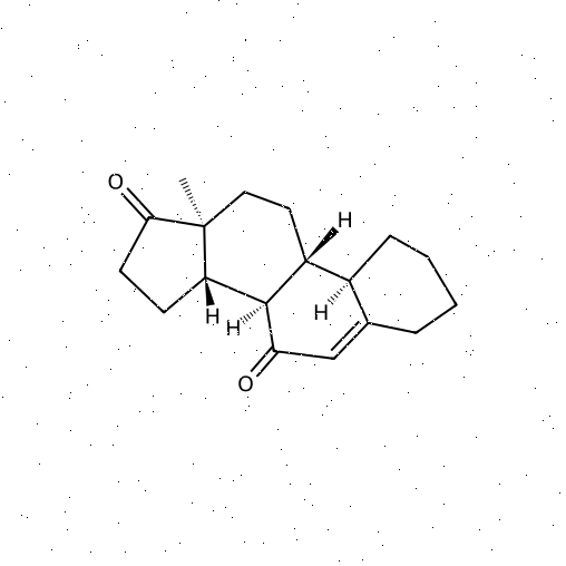 C[C@]12CC[C@H]3[C@@H](C(=O)C=C4CCCC[C@@H]43)[C@@H]1CCC2=O